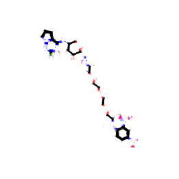 O=[N+]([O-])c1ccc(NCCOCCOCCOCCNC[C@H]2OC[C@H](Nc3nc(Cl)nn4cccc34)[C@@H](O)[C@H]2O)c([N+](=O)[O-])c1